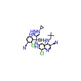 BC(Nc1cc(Cl)c2ncc(C#N)c(NCC(C)(C)C)c2c1)(C1=CN(C2CC2)NN1)c1cccc(C#N)c1Cl